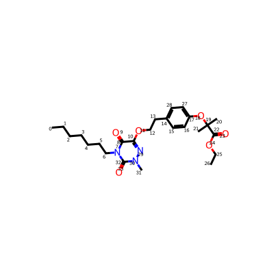 CCCCCCCn1c(=O)c(OCCc2ccc(OC(C)(C)C(=O)OCC)cc2)nn(C)c1=O